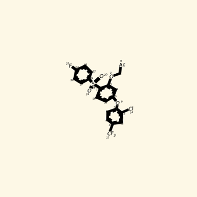 CC(=O)COc1cc(Oc2ccc(C(F)(F)F)cc2Cl)ccc1S(=O)(=O)c1ccc(F)cc1